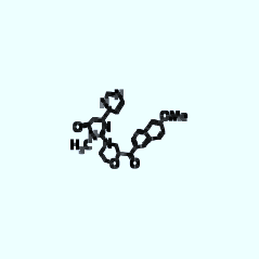 COc1ccc2cc(C(=O)C3CN(c4nc(-c5ccncn5)cc(=O)n4C)CCO3)ccc2c1